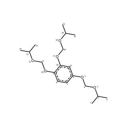 CC(C)OCOc1ccc(OCOC(C)C)c(OCOC(C)C)c1